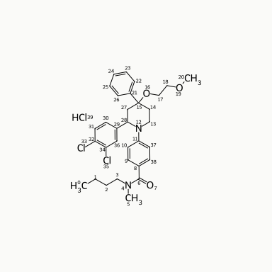 CCCCN(C)C(=O)c1ccc(N2CCC(OCCOC)(c3ccccc3)CC2c2ccc(Cl)c(Cl)c2)cc1.Cl